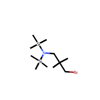 CC(C)(CBr)CN([Si](C)(C)C)[Si](C)(C)C